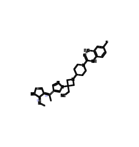 C/N=C1/NC=C/C1=C(/C)c1cnn(C2(CC#N)CN(C3CCN(C(=O)Nc4ccc(F)cc4C(F)(F)F)CC3)C2)c1